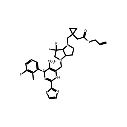 C=CCOC(=O)CC1(CN2CCC3C2C(F)(F)CN3CC2=C(C(=O)O)[C@H](c3cccc(F)c3C)N=C(c3nccs3)N2)CC1